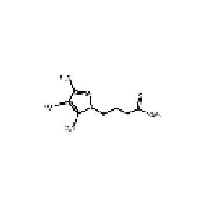 COC(=O)CCCn1nc(C)c(C)c1[N+](=O)[O-]